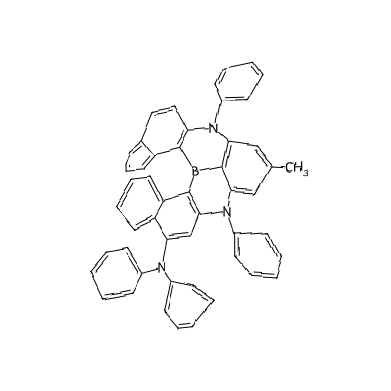 Cc1cc2c3c(c1)N(c1ccccc1)c1cc(N(c4ccccc4)c4ccccc4)c4ccccc4c1B3c1c(ccc3ccccc13)N2c1ccccc1